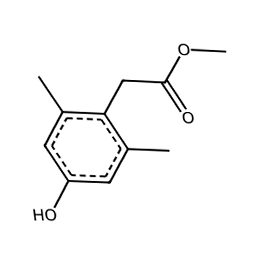 COC(=O)Cc1c(C)cc(O)cc1C